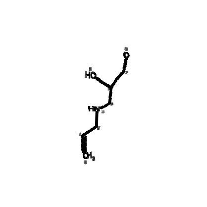 C=CCNCC(O)C[O]